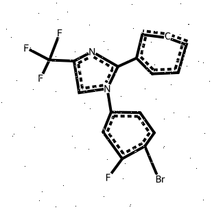 Fc1cc(-n2cc(C(F)(F)F)nc2-c2ccccc2)ccc1Br